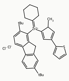 CC1C=C(c2cccs2)C=[C]1[Zr+2](=[C]1CCCCC1)[c]1c(C(C)(C)C)ccc2c1Cc1cc(C(C)(C)C)ccc1-2.[Cl-].[Cl-]